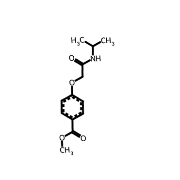 COC(=O)c1ccc(OCC(=O)NC(C)C)cc1